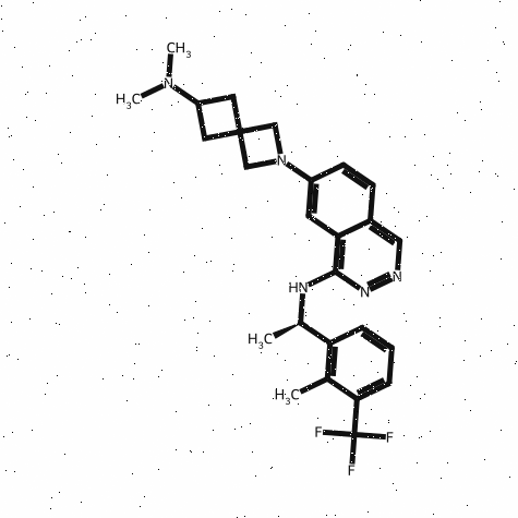 Cc1c([C@@H](C)Nc2nncc3ccc(N4CC5(CC(N(C)C)C5)C4)cc23)cccc1C(F)(F)F